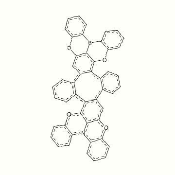 c1ccc2c(c1)Oc1cc3c4ccccc4c4c(cc5oc6ccccc6n6c7ccccc7oc4c56)c4ccccc4c3c3c1B2c1ccccc1O3